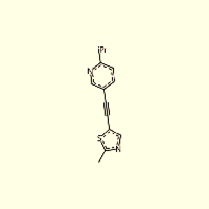 Cc1ncc(C#Cc2ccc(C(C)C)nc2)s1